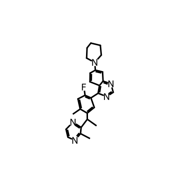 Cc1cc(F)c(-c2ncnc3cc(N4CCCCC4)ccc23)cc1C(C)c1nccnc1C